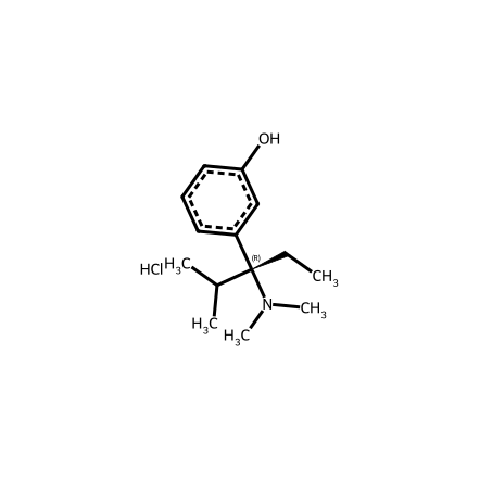 CC[C@](c1cccc(O)c1)(C(C)C)N(C)C.Cl